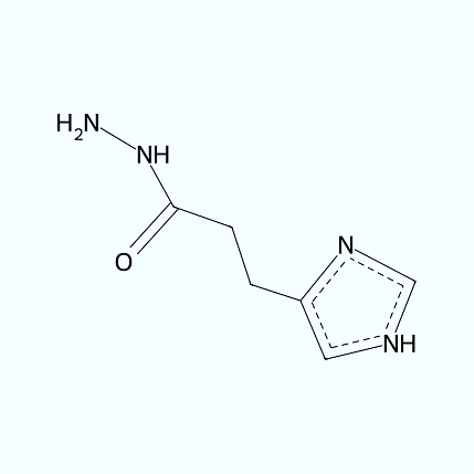 NNC(=O)CCc1c[nH]cn1